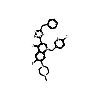 CN1CCN(c2cc3c(cc2F)c(=O)c(-c2noc(Cc4ccccc4)n2)cn3Cc2ccc(Cl)nc2)CC1